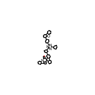 c1ccc(-c2nc(-c3ccc(-c4cccc5c4oc4ccccc45)cc3)nc(-c3cccc(-c4ccc5c(c4)C4(c6ccccc6-5)c5ccccc5-n5c6ccccc6c6cccc4c65)c3)n2)cc1